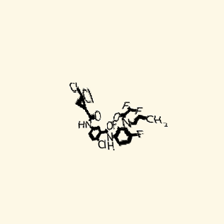 C=CCN(C(=O)C(F)F)c1c(F)ccc(NC(=O)c2cc(NC(=O)C3CC3(Cl)Cl)ccc2Cl)c1F